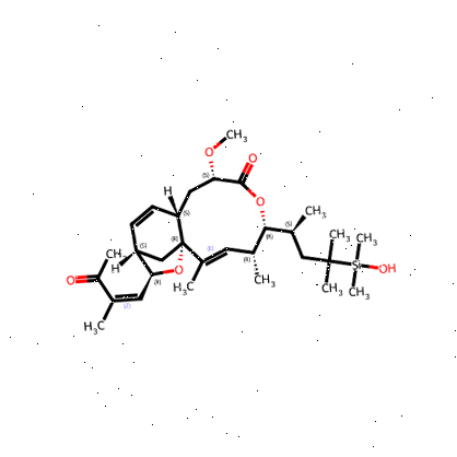 CO[C@H]1C[C@H]2C=C[C@@H]3C[C@]2(O[C@H]3/C=C(/C)C(C)=O)/C(C)=C/[C@@H](C)[C@@H]([C@@H](C)CC(C)(C)[Si](C)(C)O)OC1=O